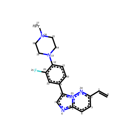 C=Cc1ccc2ncc(-c3ccc(N4CCN(CCC)CC4)c(F)c3)n2n1